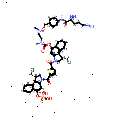 CN(CCN(C)C(=O)Oc1cc2c(c3ccccc13)[C@H](CCl)CN2C(=O)c1ccc(C(=O)N2C[C@@H](CCl)c3c2cc(OP(=O)(O)O)c2ccccc32)s1)OCc1ccc(NC(=O)[C@@H](N)CCCNN)cc1